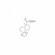 COC(=O)[C@]1(C)CCC[C@]2(C)C1CCCC21OCCO1